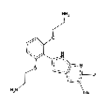 CC(C)(C)n1cc2cc(-c3c(OCCN)cccc3OCCN)[nH]c2nc1=O